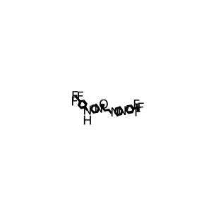 O=C(CCCN1CCN(c2ccc(C(F)(F)F)cc2)CC1)N1CCC(Nc2ccc(C(F)(F)F)cc2)CC1